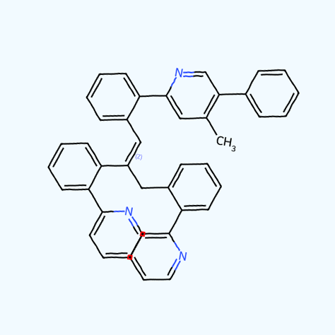 Cc1cc(-c2ccccc2/C=C(/Cc2ccccc2-c2ccccn2)c2ccccc2-c2ccccn2)ncc1-c1ccccc1